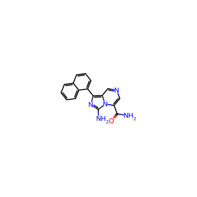 NC(=O)c1cncc2c(-c3cccc4ccccc34)nc(N)n12